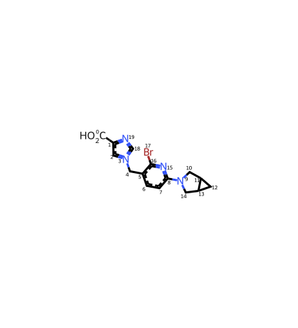 O=C(O)c1cn(Cc2ccc(N3CC4CC4C3)nc2Br)cn1